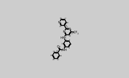 O=C(Nc1cccc(Nc2cc(C(F)(F)F)nc(-c3cccnc3)n2)c1)c1ccccc1